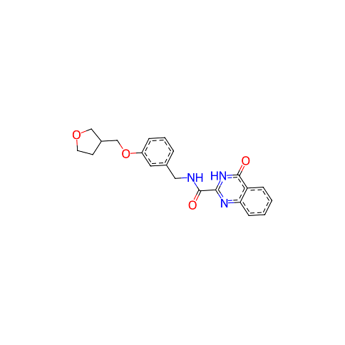 O=C(NCc1cccc(OCC2CCOC2)c1)c1nc2ccccc2c(=O)[nH]1